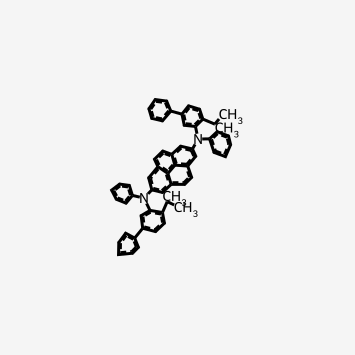 CC(C)c1ccc(-c2ccccc2)cc1N(c1ccccc1)c1cc2ccc3cc(N(c4ccccc4)c4cc(-c5ccccc5)ccc4C(C)C)cc4ccc(c1)c2c34